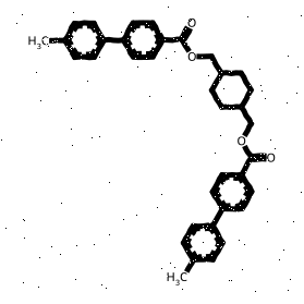 Cc1ccc(-c2ccc(C(=O)OCC3CCC(COC(=O)c4ccc(-c5ccc(C)cc5)cc4)CC3)cc2)cc1